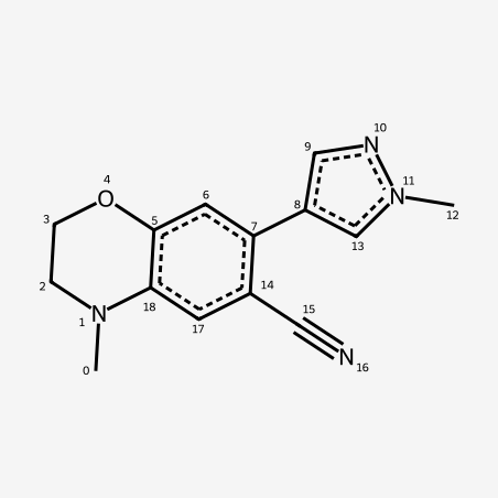 CN1CCOc2cc(-c3cnn(C)c3)c(C#N)cc21